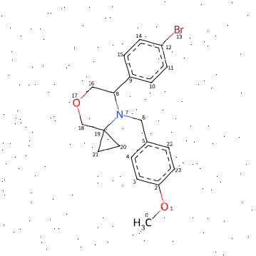 COc1ccc(CN2C(c3ccc(Br)cc3)COCC23CC3)cc1